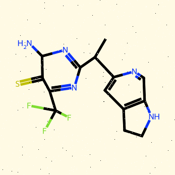 CC(C1=NC(N)C(=S)C(C(F)(F)F)=N1)c1cc2c(cn1)NCC2